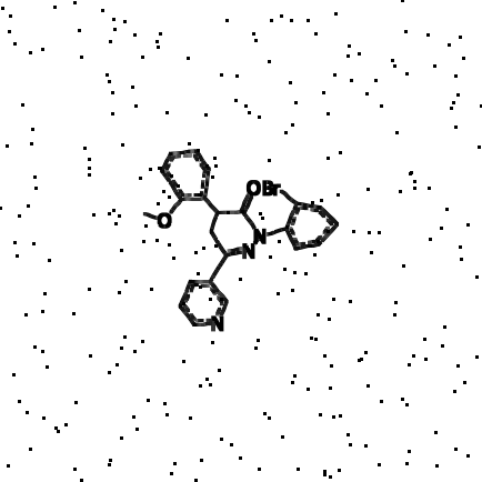 COc1ccccc1C1CC(c2cccnc2)=NN(c2ccccc2Br)C1=O